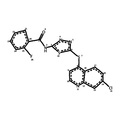 O=C(Nc1nnc(Sc2ccnc3cc(Cl)ccc23)s1)c1ccccc1F